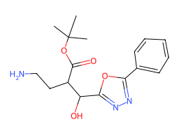 CC(C)(C)OC(=O)C(CCN)C(O)c1nnc(-c2ccccc2)o1